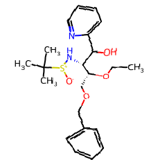 CCO[C@H](COCc1ccccc1)[C@H](N[S+]([O-])C(C)(C)C)C(O)c1ccccn1